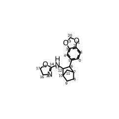 c1cc2c(cc1C1C3CCC(C3)C1NC1=NCCO1)OCO2